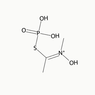 CC(SP(=O)(O)O)=[N+](C)O